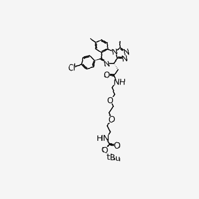 Cc1ccc2c(c1)C(c1ccc(Cl)cc1)=N[C@@H](CC(=O)NCCOCCOCCNC(=O)OC(C)(C)C)c1nnc(C)n1-2